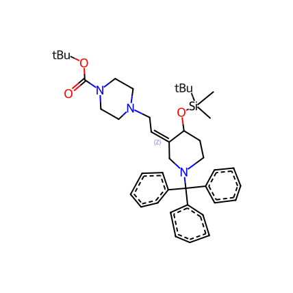 CC(C)(C)OC(=O)N1CCN(C/C=C2/CN(C(c3ccccc3)(c3ccccc3)c3ccccc3)CCC2O[Si](C)(C)C(C)(C)C)CC1